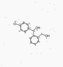 OCc1ccccc1C(O)c1ccc(Cl)cc1